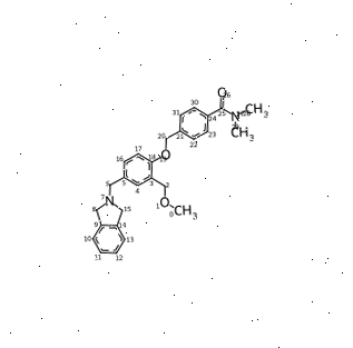 COCc1cc(CN2Cc3ccccc3C2)ccc1OCc1ccc(C(=O)N(C)C)cc1